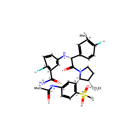 CCOC(=O)[C@H]1CCN(C(=O)[C@H](Nc2ccc(F)c(C(N)=O)c2)c2ccc(F)c(OC)c2)[C@H]1c1cc(NC(=O)OC)ccc1S(=O)(=O)CC